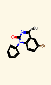 CCCCc1nc(=O)n(-c2ccccc2)c2ccc(Br)cc12